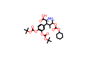 CC(OC(=O)OC1CCCCC1)C(C)C(c1ccc(OC(=O)OC(C)(C)C)c(OC(=O)OC(C)(C)C)c1)[C@H](N)C(=O)O